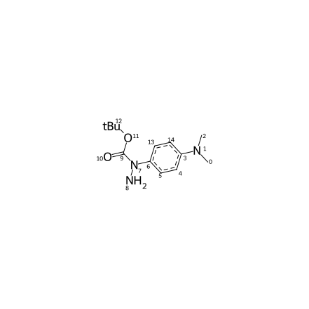 CN(C)c1ccc(N(N)C(=O)OC(C)(C)C)cc1